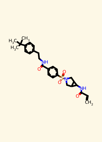 C=CC(=O)NC1C2CN(S(=O)(=O)c3ccc(C(=O)NCCc4ccc(C(C)(C)C)cc4)cc3)CC21